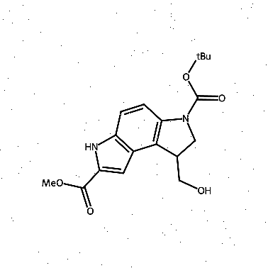 COC(=O)c1cc2c3c(ccc2[nH]1)N(C(=O)OC(C)(C)C)CC3CO